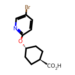 O=C(O)[C@H]1CC[C@H](Oc2ccc(Br)cn2)CC1